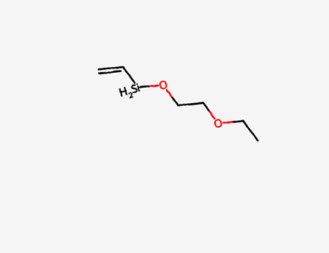 C=C[SiH2]OCCOCC